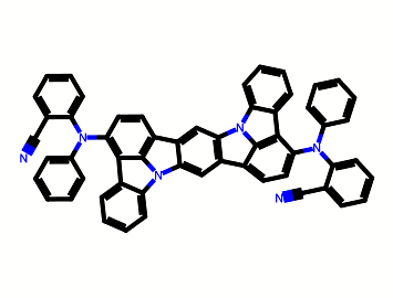 N#Cc1ccccc1N(c1ccccc1)c1ccc2c3cc4c(cc3n3c5ccccc5c1c23)c1ccc(N(c2ccccc2)c2ccccc2C#N)c2c3ccccc3n4c12